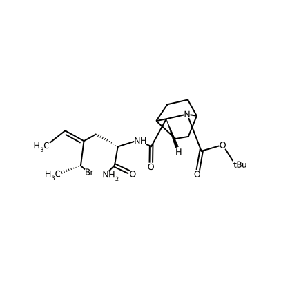 C/C=C(/C[C@H](NC(=O)[C@@H]1C2CCC(CC2)N1C(=O)OC(C)(C)C)C(N)=O)[C@@H](C)Br